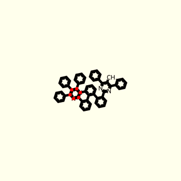 Cc1c(-c2ccccc2)nc(-c2ccccc2-c2cccc(-c3ccccn3)c2-c2ccccc2-c2nc(-c3ccccc3)c(-c3ccccc3)c(-c3ccccc3)n2)nc1-c1ccccc1